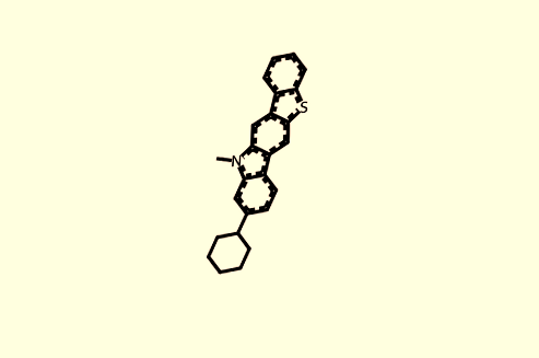 Cn1c2cc(C3CCCCC3)ccc2c2cc3sc4ccccc4c3cc21